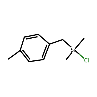 Cc1ccc(C[Si](C)(C)Cl)cc1